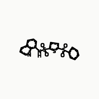 O=S(=O)(Nc1cccc2cccnc12)c1ccc(S(=O)(=O)c2ccccc2)s1